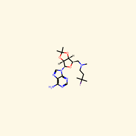 CN(CCC(C)(C)I)C[C@H]1O[C@@H](n2cnc3c(N)ncnc32)[C@@H]2OC(C)(C)O[C@@H]21